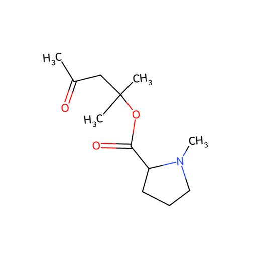 CC(=O)CC(C)(C)OC(=O)C1CCCN1C